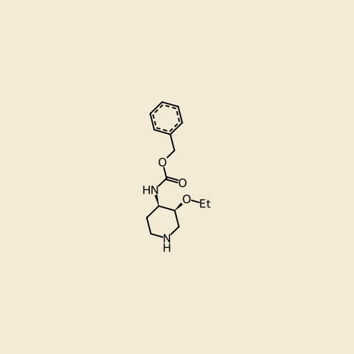 CCO[C@H]1CNCC[C@H]1NC(=O)OCc1ccccc1